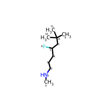 CNCCCC(F)CC(C)(C)C